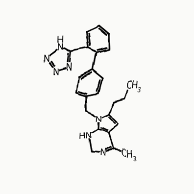 CCCc1cc2c(n1Cc1ccc(-c3ccccc3-c3nnn[nH]3)cc1)NCN=C2C